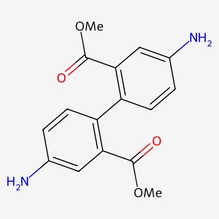 COC(=O)c1cc(N)ccc1-c1ccc(N)cc1C(=O)OC